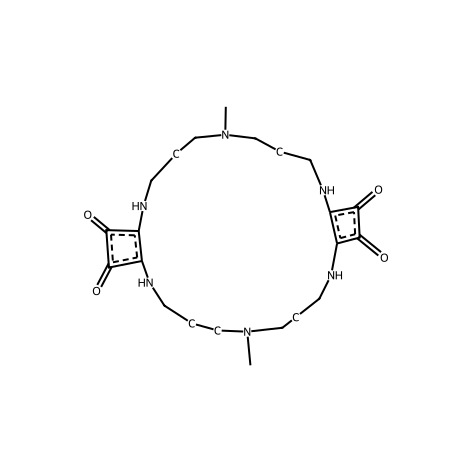 CN1CCCNc2c(c(=O)c2=O)NCCCN(C)CCCNc2c(c(=O)c2=O)NCCC1